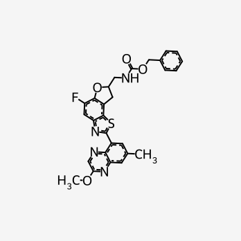 COc1cnc2c(-c3nc4cc(F)c5c(c4s3)CC(CNC(=O)OCc3ccccc3)O5)cc(C)cc2n1